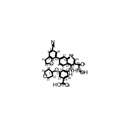 N#Cc1cc2c(c(-c3ccc4c(Nc5cc(OC6CCOCC6)cc(C(=O)O)c5)c(C(=O)NO)cnc4c3)c1)OCC2